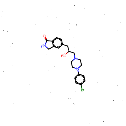 O=C1NCc2cc(CC(O)CN3CCN(c4ccc(Br)cc4)CC3)ccc21